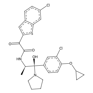 C[C@@H](NC(=O)C(=O)c1cc2ccc(Cl)cc2s1)[C@](O)(c1ccc(OC2CC2)c(Cl)c1)N1CCCC1